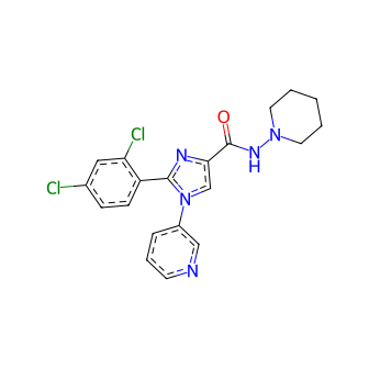 O=C(NN1CCCCC1)c1cn(-c2cccnc2)c(-c2ccc(Cl)cc2Cl)n1